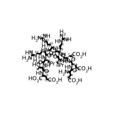 CC(C)C[C@H](NC(=O)[C@H](CCC(=O)O)NC(=O)[C@H](CCC(=O)O)NC(=O)[C@@H](N)CCC(=O)O)C(=O)N[C@@H](CCCNC(=N)N)C(=O)N[C@@H](CCCNC(=N)N)C(=O)N[C@@H](CCCNC(=N)N)C(=O)N[C@@H](CC(C)C)C(=O)N[C@H](C(=O)N[C@@H](CCC(=O)O)C(=O)O)[C@@H](C)O